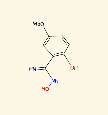 COc1ccc(O)c(C(=N)NO)c1